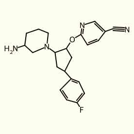 N#Cc1ccc(OC2CC(c3ccc(F)cc3)CC2N2CCCC(N)C2)nc1